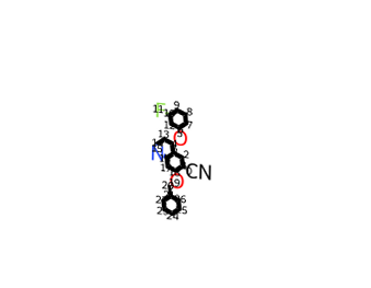 N#Cc1cc2c(Oc3cccc(F)c3)ccnc2cc1OCc1ccccc1